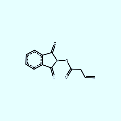 C=CCC(=O)ON1C(=O)c2ccccc2C1=O